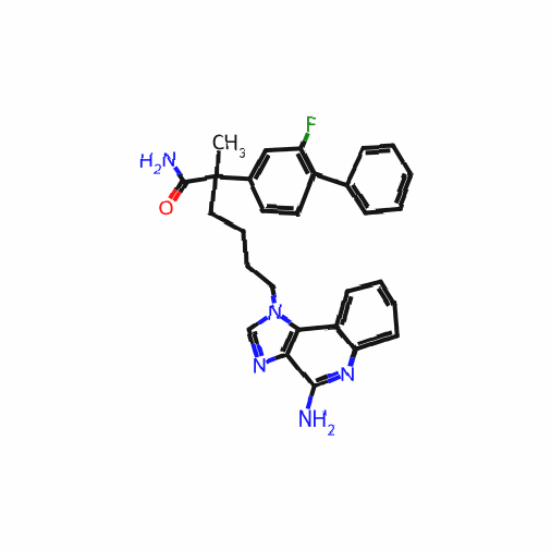 CC(CCCCn1cnc2c(N)nc3ccccc3c21)(C(N)=O)c1ccc(-c2ccccc2)c(F)c1